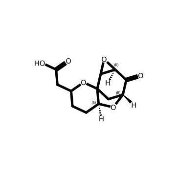 O=C(O)CC1CC[C@@H]2O[C@@H]3CC2(O1)C1O[C@H]1C3=O